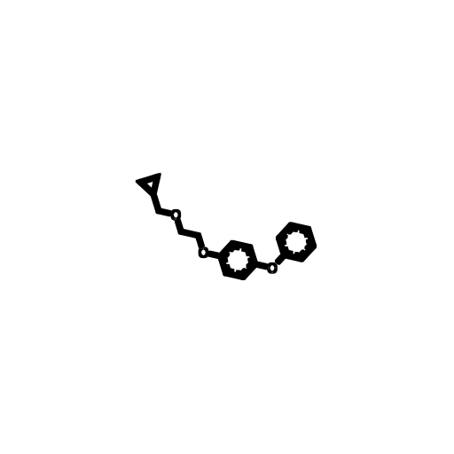 c1ccc(Oc2ccc(OCCOCC3CC3)cc2)cc1